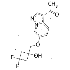 CC(=O)c1cnn2cc(OCC3(O)CC(F)(F)C3)ccc12